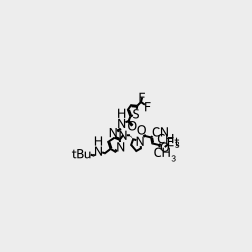 CCOC(C)(C)C=C(C#N)C(=O)N1CCC[C@@H]1Cn1c(NC(=O)c2ccc(C(F)F)s2)nc2cc(CNCC(C)(C)C)cnc21